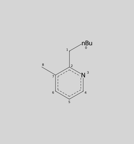 CCCCCc1ncccc1C